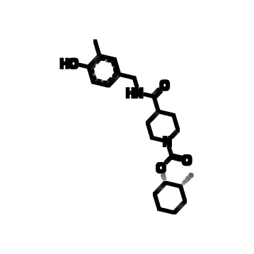 Cc1cc(CNC(=O)C2CCN(C(=O)O[C@H]3CCCC[C@H]3C)CC2)ccc1O